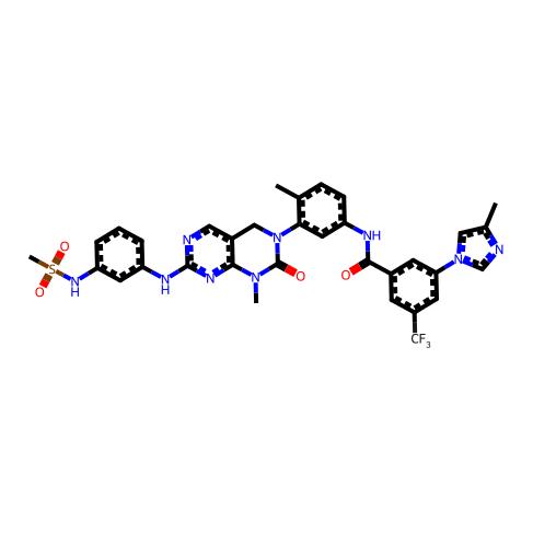 Cc1cn(-c2cc(C(=O)Nc3ccc(C)c(N4Cc5cnc(Nc6cccc(NS(C)(=O)=O)c6)nc5N(C)C4=O)c3)cc(C(F)(F)F)c2)cn1